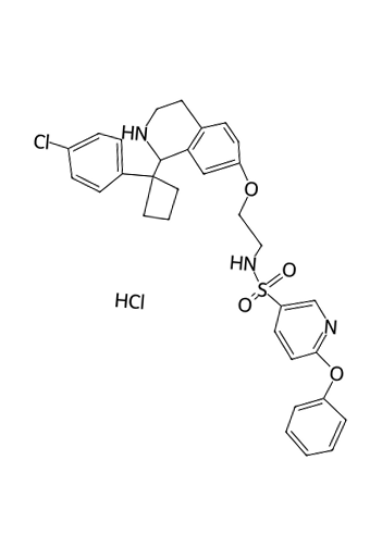 Cl.O=S(=O)(NCCOc1ccc2c(c1)C(C1(c3ccc(Cl)cc3)CCC1)NCC2)c1ccc(Oc2ccccc2)nc1